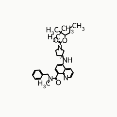 CCCC(OC(=O)N1CC[C@H](Nc2ccc(C(=O)N(C)Cc3ccccc3)c3ncccc23)C1)C(C)(C)C